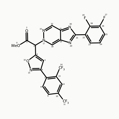 COC(=O)C(c1cc(-c2ccc(C(F)(F)F)cc2C(F)(F)F)no1)n1cc2nc(-c3cccc(F)c3F)nc-2cn1